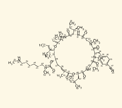 C/C=C(\C)[C@H]1OC(=O)C(C)(C)NC(=O)[C@H]([C@H](C)CC)NC(=O)CN(C)C(=O)[C@@H](Cc2ccc(C#N)cc2)N(C)C(=O)[C@H](C)NC(=O)[C@@H](CC(C)C)OC(=O)/C(C)=C/C[C@H](OC(=O)N(C)CCCCCCNC)[C@@H]1C